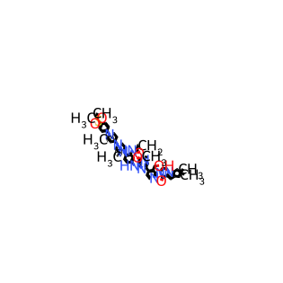 C=CC(=O)Nc1cc(Nc2nc(-c3ccnc(N4CCn5c(cc6c5CC(C)(C)C6)C4=O)c3CO)cn(C)c2=O)ccc1N1CCN(C2CCN(c3ccc(S(=O)(=O)C(C)C)cc3)[C@H](C)C2)C[C@@H]1C